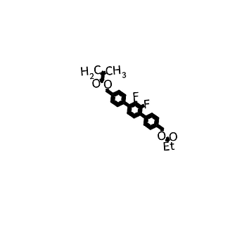 C=C(C)C(=O)OCc1ccc(-c2ccc(-c3ccc(COC(=O)CC)cc3)c(F)c2F)cc1